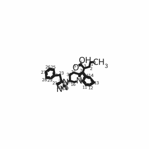 CCCC(C(=O)O)c1c2n(c3ccccc13)CC(n1nncc1Cc1ccccc1)CC2